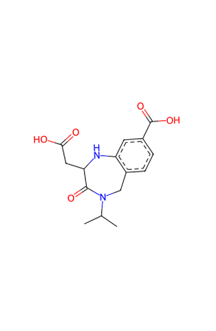 CC(C)N1Cc2ccc(C(=O)O)cc2NC(CC(=O)O)C1=O